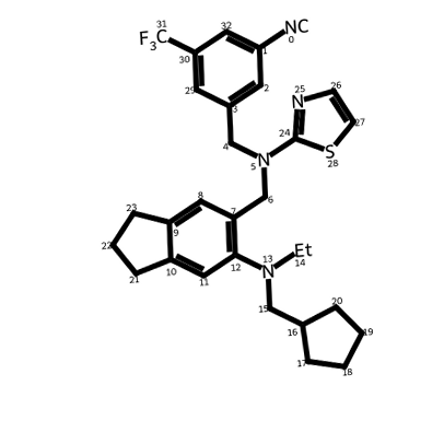 [C-]#[N+]c1cc(CN(Cc2cc3c(cc2N(CC)CC2CCCC2)CCC3)c2nccs2)cc(C(F)(F)F)c1